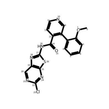 COc1ccccc1-c1cnccc1C(=O)Nc1nc2cnc(Cl)nc2s1